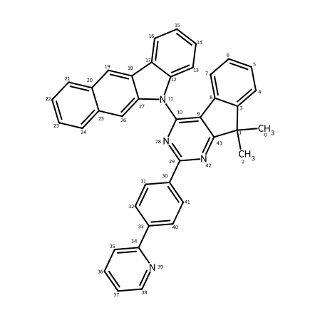 CC1(C)c2ccccc2-c2c(-n3c4ccccc4c4cc5ccccc5cc43)nc(-c3ccc(-c4ccccn4)cc3)nc21